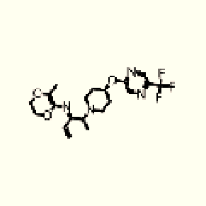 C=C/C(=N\C1=C(C)OCCO1)C(C)N1CCC(Oc2cnc(C(F)(F)F)cn2)CC1